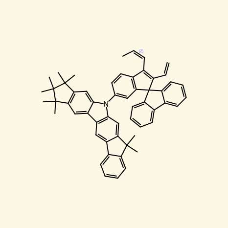 C=CC1=C(/C=C\C)c2ccc(-n3c4cc5c(cc4c4cc6c(cc43)C(C)(C)C(C)(C)C6(C)C)-c3ccccc3C5(C)C)cc2C12c1ccccc1-c1ccccc12